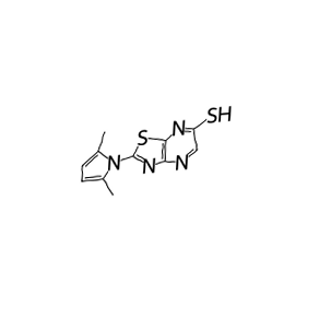 Cc1ccc(C)n1-c1nc2ncc(S)nc2s1